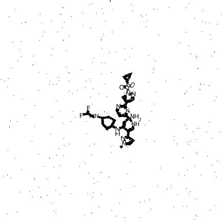 Cn1ccc(C2=CNC(N)(c3ccnc(-c4cnn(S(=O)(=O)C5CC5)c4)n3)C=C2NC2CCC(NCC(F)F)CC2)n1